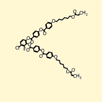 C=CC(=O)OCCCCCCOc1ccc(C(=O)Oc2ccc(C(=O)Oc3ccc(Cl)c(F)c3OC(=O)c3ccc(OC(=O)c4ccc(OCCCCCCOC(=O)C=C)cc4)cc3)cc2)cc1